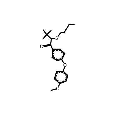 CCCCSC(C(=O)c1ccc(Oc2ccc(OC)cc2)cc1)C(C)(C)C